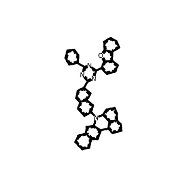 c1ccc(-c2nc(-c3ccc4ccc(N5c6cc7ccccc7cc6-c6cccc7cccc5c67)cc4c3)nc(-c3cccc4c3oc3ccccc34)n2)cc1